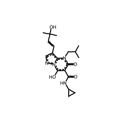 CC(C)Cn1c(=O)c(C(=O)NC2CC2)c(O)n2ncc(C=CC(C)(C)O)c12